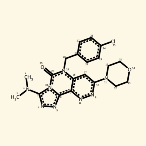 CN(C)c1nnc2c3nnc(N4CCOCC4)cc3n(Cc3ccc(Cl)cc3)c(=O)n12